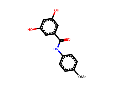 COc1ccc(NC(=O)c2cc(O)cc(O)c2)cc1